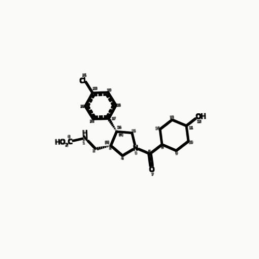 O=C(O)NC[C@H]1CN(C(=O)C2CCC(O)CC2)C[C@H]1c1ccc(Cl)cc1